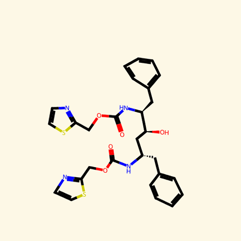 O=C(N[C@@H](Cc1ccccc1)C[C@H](O)[C@H](Cc1ccccc1)NC(=O)OCc1nccs1)OCc1nccs1